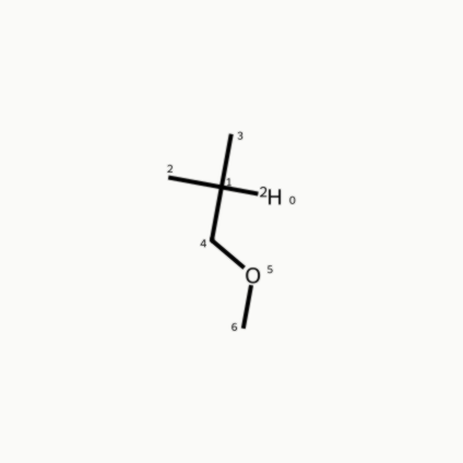 [2H]C(C)(C)COC